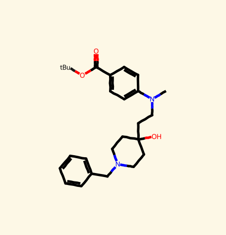 CN(CCC1(O)CCN(Cc2ccccc2)CC1)c1ccc(C(=O)OC(C)(C)C)cc1